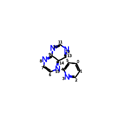 c1ccncc1.c1cnc2ncncc2n1